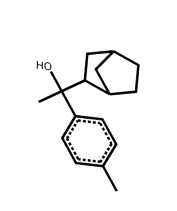 Cc1ccc(C(C)(O)C2CC3CCC2C3)cc1